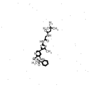 Cc1nc(NC(=O)CNC(=O)CC(C)(C)C)sc1-c1cnc(Cl)c(NS(C)(C)(=O)c2ccccc2)c1